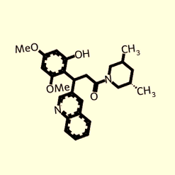 COc1cc(O)c(C(CC(=O)N2CC(C)C[C@H](C)C2)c2cnc3ccccc3c2)c(OC)c1